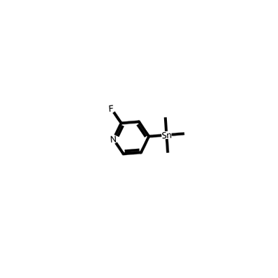 [CH3][Sn]([CH3])([CH3])[c]1ccnc(F)c1